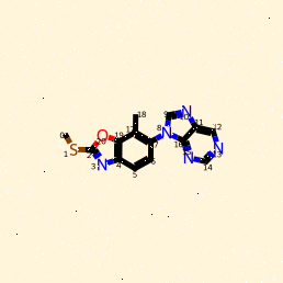 CSc1nc2ccc(-n3cnc4cncnc43)c(C)c2o1